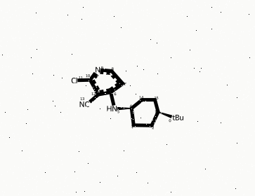 CC(C)(C)[C@H]1CC[C@@H](Nc2ccnc(Cl)c2C#N)CC1